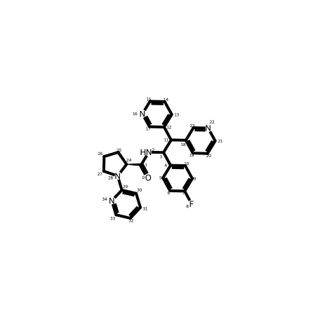 O=C(NC(c1ccc(F)cc1)C(c1cccnc1)c1cccnc1)[C@@H]1CCCN1c1ccccn1